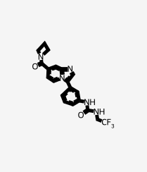 O=C(NCC(F)(F)F)Nc1cccc(-c2cnc3cc(C(=O)N4CCC4)ccn23)c1